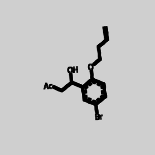 C=CCCOc1ccc(Br)cc1C(O)CC(C)=O